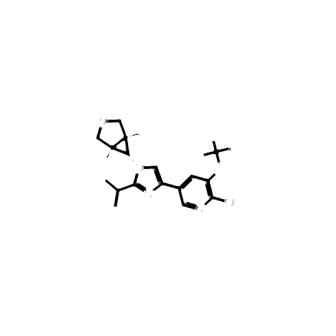 CC(C)c1nc(-c2cnc(N)c(OC(F)(F)F)c2)cn1[C@@H]1[C@@H]2CNC[C@@H]21